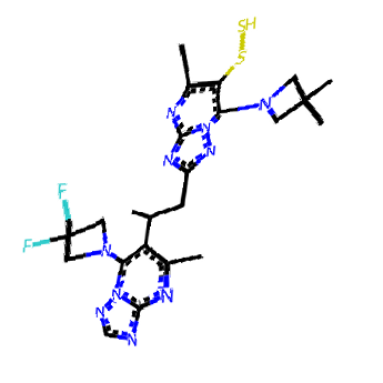 Cc1nc2nc(CC(C)c3c(C)nc4ncnn4c3N3CC(F)(F)C3)nn2c(N2CC(C)(C)C2)c1SS